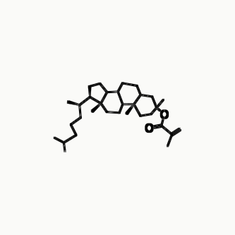 C=C(C)C(=O)OC1(C)CC[C@@]2(C)C(CCC3C2CC[C@@]2(C)C3CC[C@@H]2[C@H](C)CCCC(C)C)C1